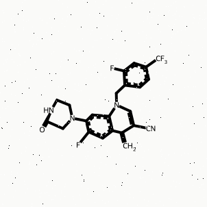 C=C1C(C#N)=CN(Cc2ccc(C(F)(F)F)cc2F)c2cc(N3CCNC(=O)C3)c(F)cc21